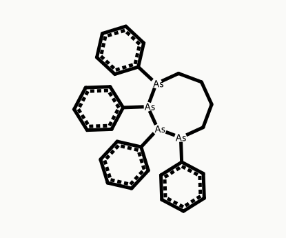 c1ccc([As]2CCCC[As](c3ccccc3)[As](c3ccccc3)[As]2c2ccccc2)cc1